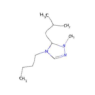 CCCCN1C=NN(C)C1CC(C)C